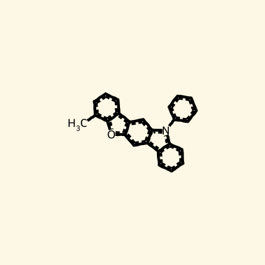 Cc1cccc2c1oc1cc3c4ccccc4n(-c4ccccc4)c3cc12